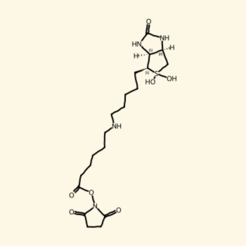 O=C1N[C@H]2[C@H](CS(O)(O)[C@H]2CCCCCNCCCCCC(=O)ON2C(=O)CCC2=O)N1